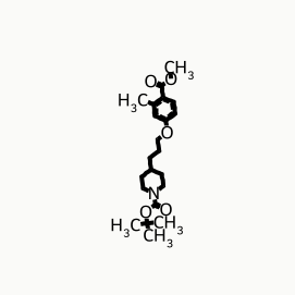 COC(=O)c1ccc(OCCCC2CCN(C(=O)OC(C)(C)C)CC2)cc1C